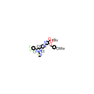 CCN1C(c2nccs2)=NC(c2ccc(F)c(F)c2Cl)C(C(=O)O)=C1C1CCN(c2cc(OCc3ccc(OC)cc3)c(C(=O)OC(C)(C)C)cn2)CC1